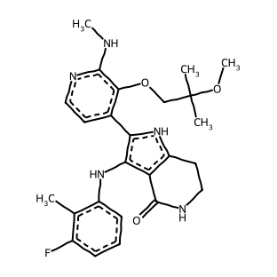 CNc1nccc(-c2[nH]c3c(c2Nc2cccc(F)c2C)C(=O)NCC3)c1OCC(C)(C)OC